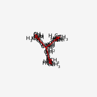 CCC[C@H]1O[C@H](COC)[C@H](O)[C@H](O)[C@H]1Nc1nccc(OCCOCCOCCNC(=O)NCCCC(N)(CCCNC(=O)NCCOCCOCCOc2ccnc(N[C@@H]3[C@@H](O)[C@@H](O)[C@@H](COC)O[C@@H]3CCC)n2)CCCNC(=O)NCCOCCOCCOc2ccnc(N[C@@H]3[C@@H](O)[C@@H](O)[C@@H](COC)O[C@@H]3CCC)n2)n1